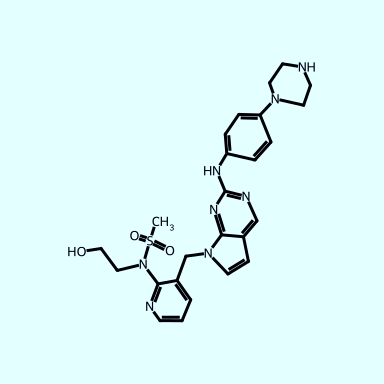 CS(=O)(=O)N(CCO)c1ncccc1Cn1ccc2cnc(Nc3ccc(N4CCNCC4)cc3)nc21